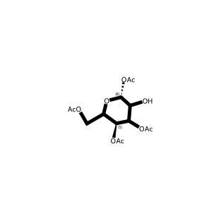 CC(=O)OCC1O[C@H](OC(C)=O)C(O)C(OC(C)=O)[C@H]1OC(C)=O